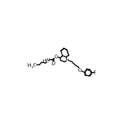 CCCCNC(=O)OC1CCN(CCCOc2ccc(F)cc2)C2CCCCC12